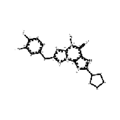 CCn1c(=O)c2[nH]c(C3CCCC3)nc2n2nc(Cc3ccc(F)c(F)c3)nc12